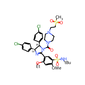 CCOc1cc(OC)c(S(=O)(=O)NC(C)(C)C)cc1C1=N[C@@H](c2ccc(Cl)cc2)[C@@H](c2ccc(Cl)cc2)N1C(=O)N1CCN(CCS(C)(=O)=O)CC1